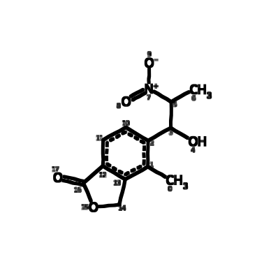 Cc1c(C(O)C(C)[N+](=O)[O-])ccc2c1COC2=O